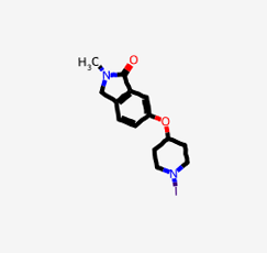 CN1Cc2ccc(OC3CCN(I)CC3)cc2C1=O